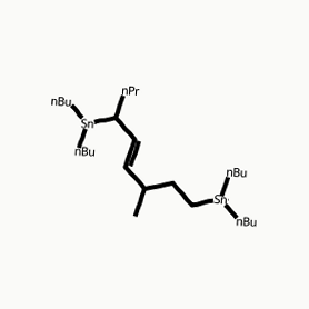 CCC[CH2][Sn]([CH2]CCC)[CH2]CC(C)/C=C/[CH](CCC)[Sn]([CH2]CCC)[CH2]CCC